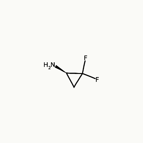 N[C@@H]1CC1(F)F